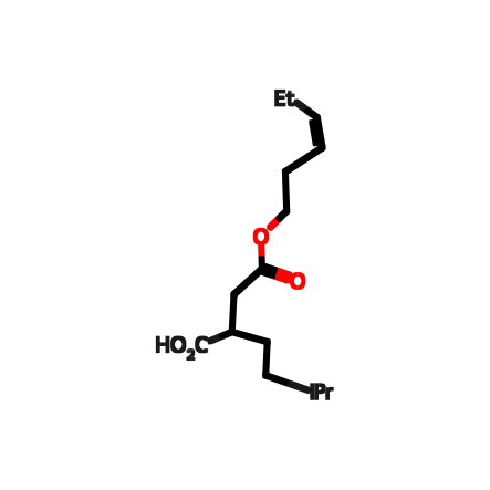 CC/C=C\CCOC(=O)CC(CCC(C)C)C(=O)O